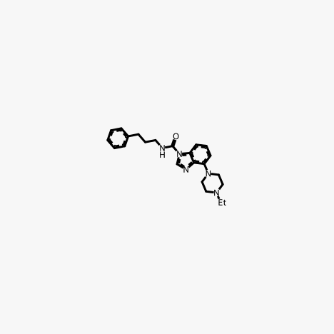 CCN1CCN(c2cccc3c2ncn3C(=O)NCCCc2ccccc2)CC1